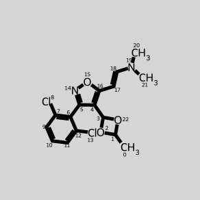 CC1OC(c2c(-c3c(Cl)cccc3Cl)noc2/C=C/N(C)C)O1